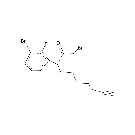 C#CCCCCCC(C(=O)CBr)c1cccc(Br)c1F